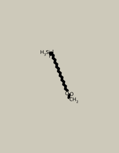 C=CC(=O)OCCCCCCCCCCCCCCCCCC([SiH3])(I)I